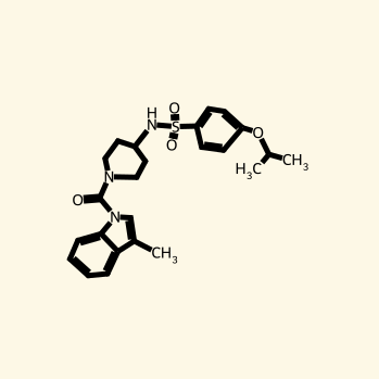 Cc1cn(C(=O)N2CCC(NS(=O)(=O)c3ccc(OC(C)C)cc3)CC2)c2ccccc12